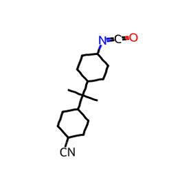 CC(C)(C1CCC(C#N)CC1)C1CCC(N=C=O)CC1